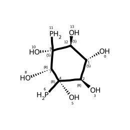 O[C@@H]1[C@@H](O)[C@@](O)(P)[C@H](O)[C@@](O)(P)[C@H]1O